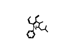 C=CC1=C(/C=C\C)N(c2ccccc2)C(CC(C)C)C1C